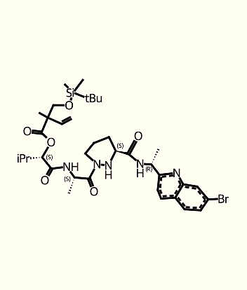 C=CC(C)(CO[Si](C)(C)C(C)(C)C)C(=O)O[C@H](C(=O)N[C@@H](C)C(=O)N1CCC[C@@H](C(=O)N[C@H](C)c2ccc3ccc(Br)cc3n2)N1)C(C)C